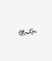 O=C1OCC(/C=C/OP2(=O)OCCO2)O1